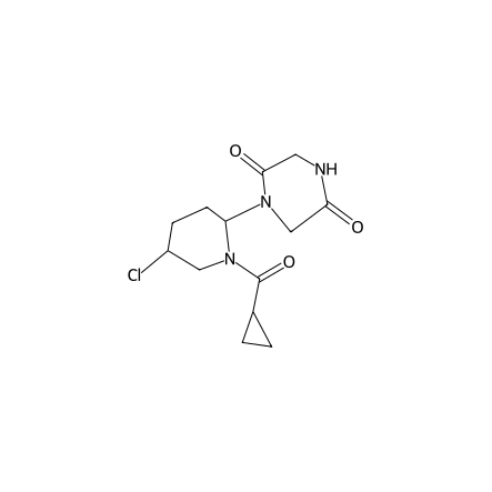 O=C1CN(C2CCC(Cl)CN2C(=O)C2CC2)C(=O)CN1